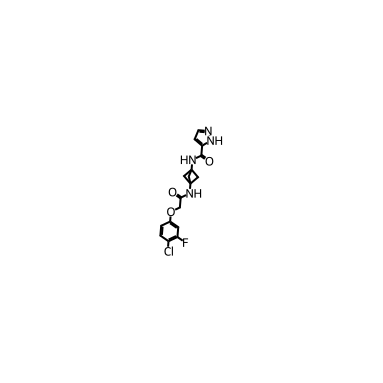 O=C(COc1ccc(Cl)c(F)c1)NC12CC(NC(=O)c3ccn[nH]3)(C1)C2